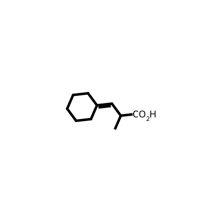 CC(C=C1CCCCC1)C(=O)O